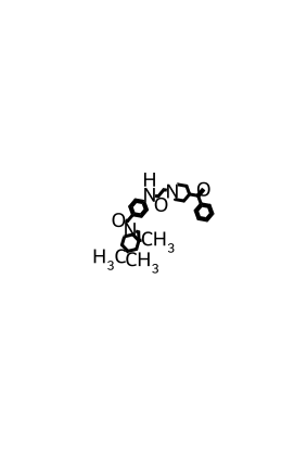 CC1(C)CC2CC(C)(CN2C(=O)c2ccc(NC(=O)CN3CCC(C(=O)c4ccccc4)CC3)cc2)C1